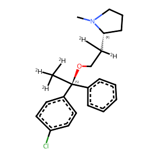 [2H]C([2H])(CO[C@@](c1ccccc1)(c1ccc(Cl)cc1)C([2H])([2H])[2H])[C@H]1CCCN1C